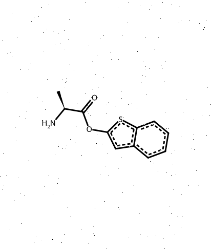 C[C@H](N)C(=O)Oc1cc2ccccc2s1